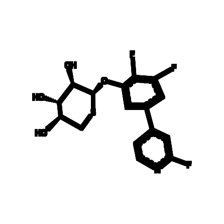 O[C@@H]1[C@@H](O)[C@@H](Oc2cc(-c3ccnc(F)c3)cc(F)c2F)SC[C@H]1O